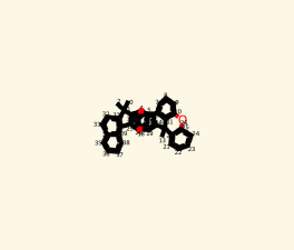 CC1(C)c2cc(-c3cccc4c3C(C)(c3ccccc3)c3ccccc3O4)ccc2-c2c1ccc1ccccc21